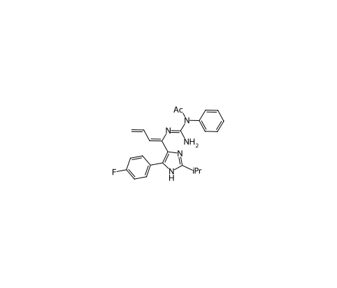 C=C/C=C(\N=C(/N)N(C(C)=O)c1ccccc1)c1nc(C(C)C)[nH]c1-c1ccc(F)cc1